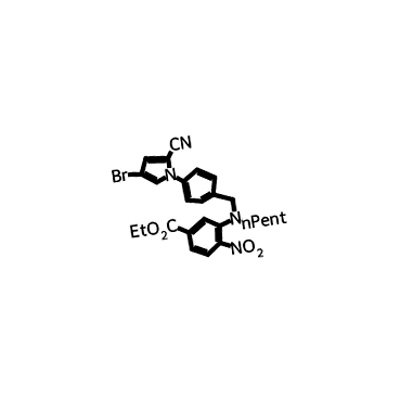 CCCCCN(Cc1ccc(-n2cc(Br)cc2C#N)cc1)c1cc(C(=O)OCC)ccc1[N+](=O)[O-]